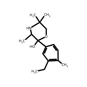 CCc1cc(C2(O)OCC(C)(C)NC2C)ccc1C